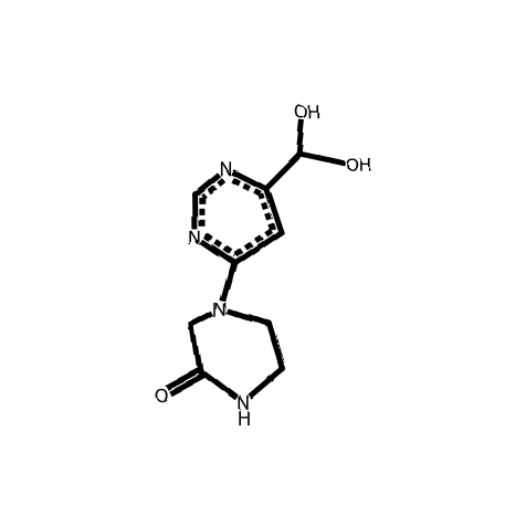 O=C1CN(c2cc(C(O)O)ncn2)CCN1